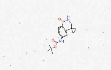 CC(C)(C)OC(=O)Nc1ccc2c(c1)C1(CC1)CNC2=O